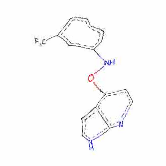 FC(F)(F)c1cccc(NOc2ccnc3[nH]ccc23)c1